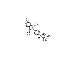 CCc1cc2c(C#N)c(-c3ccc(S(=O)(=O)NS(=O)(=O)C(C)C)cc3)n(C3CCC3)c2cn1